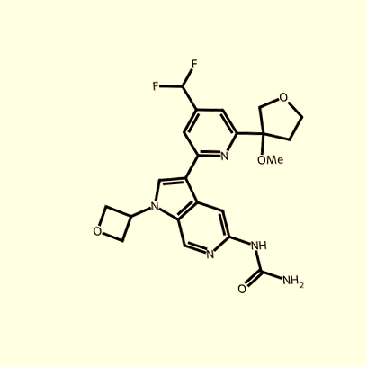 COC1(c2cc(C(F)F)cc(-c3cn(C4COC4)c4cnc(NC(N)=O)cc34)n2)CCOC1